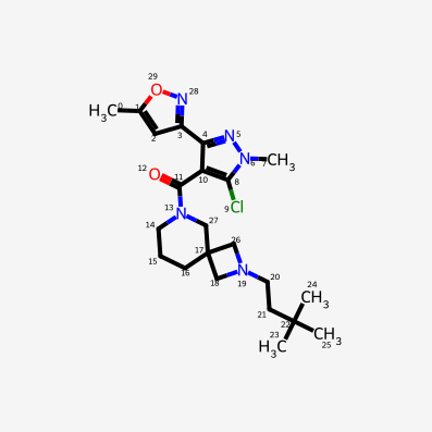 Cc1cc(-c2nn(C)c(Cl)c2C(=O)N2CCCC3(CN(CCC(C)(C)C)C3)C2)no1